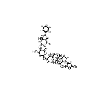 CC1O[C@@H](O[C@H]2CC[C@@]3(C)[C@H](CC[C@@H]4[C@@H]3C[C@@H](O)[C@]3(C)[C@@H](C5=CC(=O)OC5)CC[C@]43O)C2)C[C@@H](O)C1O[C@H]1C[C@H]2OC(c3ccccc3)OC2C(C)O1